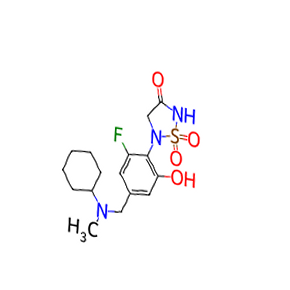 CN(Cc1cc(O)c(N2CC(=O)NS2(=O)=O)c(F)c1)C1CCCCC1